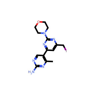 Cc1nc(N)ncc1-c1cc(CI)nc(N2CCOCC2)n1